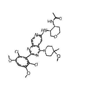 COc1cc(OC)c(Cl)c(-c2nc(N3CCC(C)(OC)CC3)c3cc(N[C@@H]4COCC[C@@H]4NC(C)=O)ncc3n2)c1Cl